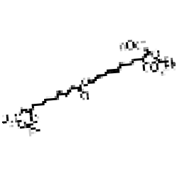 CCCCCCCCC(OC(=O)CC)C(CCCCCCCCOC(=O)CCCCCCCC(CC(=O)OCC)OC(=O)CC)C(=O)OCC